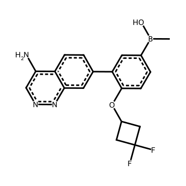 CB(O)c1ccc(OC2CC(F)(F)C2)c(-c2ccc3c(N)cnnc3c2)c1